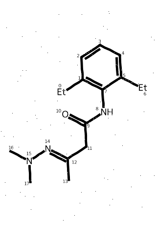 CCc1cccc(CC)c1NC(=O)CC(C)=NN(C)C